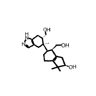 CC1(C)C2=C(C[C@H]1O)[C@H](CO)C([C@@]1(C)Cc3cn[nH]c3C[C@@H]1CO)CC2